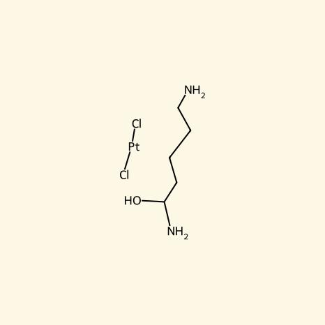 NCCCCC(N)O.[Cl][Pt][Cl]